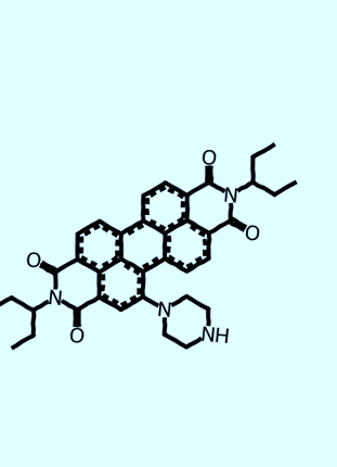 CCC(CC)N1C(=O)c2ccc3c4ccc5c6c(cc(N7CCNCC7)c(c7ccc(c2c37)C1=O)c64)C(=O)N(C(CC)CC)C5=O